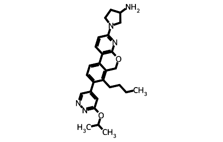 CCCCc1c(-c2cnnc(OC(C)C)c2)ccc2c1COc1nc(N3CCC(N)C3)ccc1-2